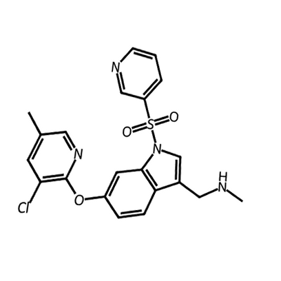 CNCc1cn(S(=O)(=O)c2cccnc2)c2cc(Oc3ncc(C)cc3Cl)ccc12